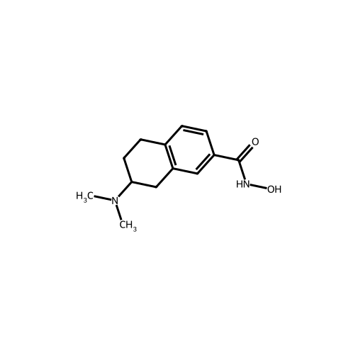 CN(C)C1CCc2ccc(C(=O)NO)cc2C1